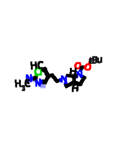 C#CC(/C=N\C(Cl)=N/C)CCN1C[C@@H]2CCN(C(=O)OC(C)(C)C)[C@@H]2C1